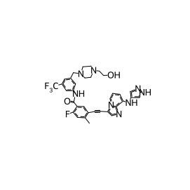 Cc1cc(F)c(C(=O)Nc2cc(CN3CCN(CCO)CC3)cc(C(F)(F)F)c2)cc1C#Cc1cnc2c(Nc3cn[nH]c3)cccn12